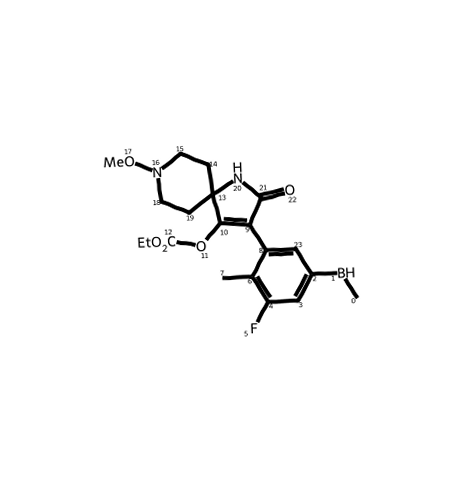 CBc1cc(F)c(C)c(C2=C(OC(=O)OCC)C3(CCN(OC)CC3)NC2=O)c1